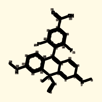 C=C[Si]1(C)C2=C/C(=N/C)C=CC2=C(c2c(F)cc(C(=O)O)cc2F)c2ccc(NC)cc21